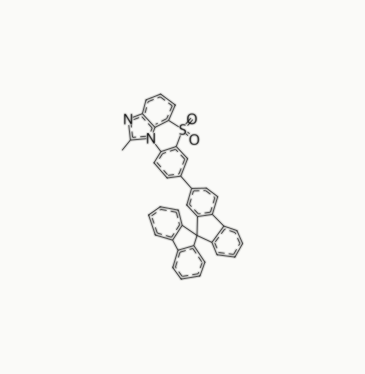 Cc1nc2cccc3c2n1-c1ccc(-c2ccc4c(c2)C2(c5ccccc5-c5ccccc52)c2ccccc2-4)cc1S3(=O)=O